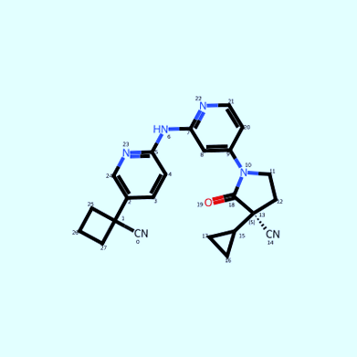 N#CC1(c2ccc(Nc3cc(N4CC[C@@](C#N)(C5CC5)C4=O)ccn3)nc2)CCC1